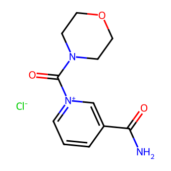 NC(=O)c1ccc[n+](C(=O)N2CCOCC2)c1.[Cl-]